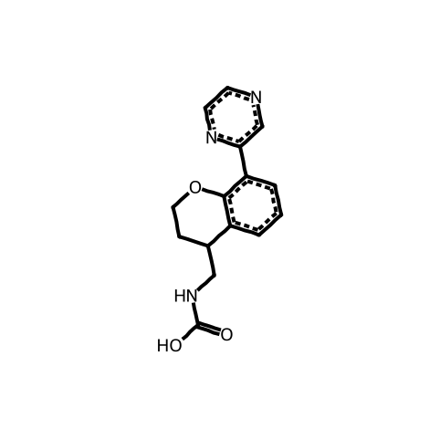 O=C(O)NCC1CCOc2c(-c3cnccn3)cccc21